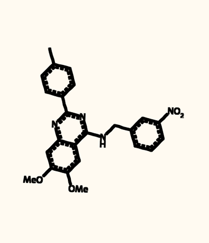 COc1cc2nc(-c3ccc(C)cc3)nc(NCc3cccc([N+](=O)[O-])c3)c2cc1OC